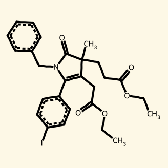 CCOC(=O)CCC1(C)C(=O)N(Cc2ccccc2)C(c2ccc(I)cc2)=C1CC(=O)OCC